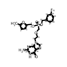 Cc1ccc(COP(=O)(COCCn2cnc3c(=O)[nH]c(N)nc32)OCc2cccc(F)c2)o1